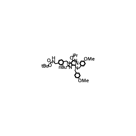 CCCCc1nc2c(N(Cc3ccc(OC)cc3)Cc3ccc(OC)cc3)nnc(OC(C)C)c2n1Cc1ccc(CNC(=O)OC(C)(C)C)cc1